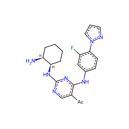 CC(=O)c1cnc(N[C@@H]2CCCC[C@@H]2N)nc1Nc1ccc(-n2cccn2)c(F)c1